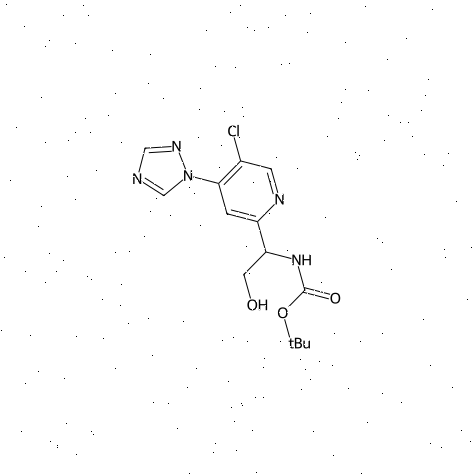 CC(C)(C)OC(=O)NC(CO)c1cc(-n2cncn2)c(Cl)cn1